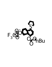 CCCCOC(=O)Oc1ccc([S+]2CCCC2)c2ccccc12.O=S(=O)([O-])C(F)(F)F